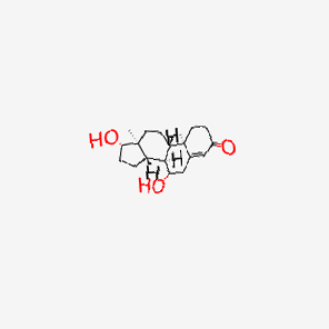 C[C@]12CC[C@H]3[C@@H]([C@H](O)CC4=CC(=O)CC[C@@]43C)[C@@H]1CC[C@@H]2O